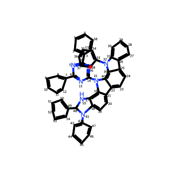 c1ccc(-c2nc(-c3ccccc3)nc(-n3c4c5c(ccc4c4ccc6c7ccccc7n(-c7ccccc7)c6c43)N(c3ccccc3)C(c3ccccc3)N5)n2)cc1